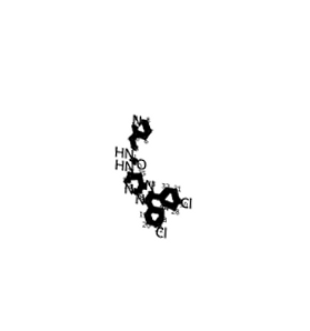 O=C(NCCc1cccnc1)Nc1cnc2nc(-c3ccc(Cl)cc3)c(-c3ccc(Cl)cc3)nc2c1